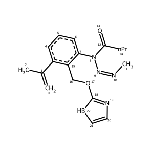 C=C(C)c1cccc(N(/N=N\C)C(=O)CCC)c1COC1=NC=CB1